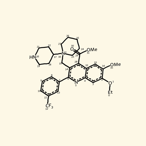 CCOc1cc2nc(-c3cccc(C(F)(F)F)c3)c(C[N+]3(C4CCNCC4)CCCCC3)c(C(=O)OC)c2cc1OC